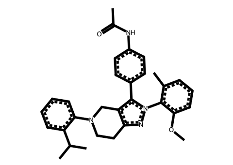 COc1cccc(C)c1-n1nc2c(c1-c1ccc(NC(C)=O)cc1)CN(c1ccccc1C(C)C)CC2